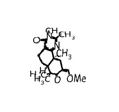 CO/C=C1/C[C@]2(C)c3nc(C)n(C)c(=O)c3CC[C@H]2C(C)(C)C1=O